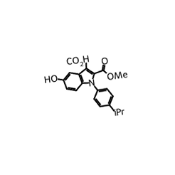 COC(=O)c1c(C(=O)O)c2cc(O)ccc2n1-c1ccc(C(C)C)cc1